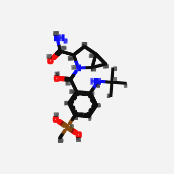 CC(C)(C)Nc1ccc(S(C)(=O)=O)cc1C(=O)N1C(C(N)=O)CC2CC21